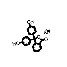 O=C1OC(c2ccc(O)cc2)(c2ccc(O)cc2)c2ccccc21.[H].[KH]